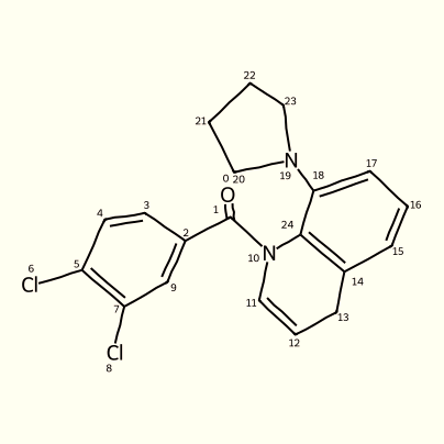 O=C(c1ccc(Cl)c(Cl)c1)N1C=CCc2cccc(N3CCCC3)c21